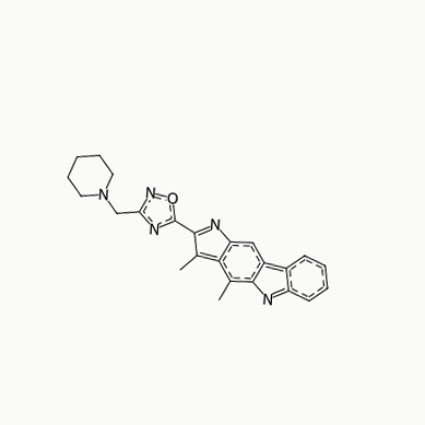 CC1=c2c(cc3c(c2C)N=c2ccccc2=3)N=C1c1nc(CN2CCCCC2)no1